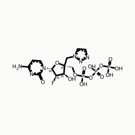 Nc1ccn([C@@H]2O[C@@](COP(=O)(O)OP(=O)(O)OP(=O)(O)O)(Cn3ccnn3)[C@@H](O)[C@H]2F)c(=O)n1